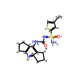 CC(C)c1csc([S@](N)(=O)=NC(=O)Nc2c3c(nc4c2CCC4)CCC3)c1